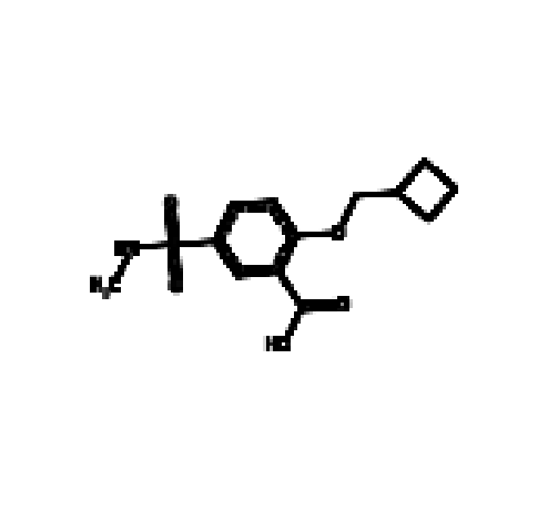 CNS(=O)(=O)c1ccc(OCC2CCC2)c(C(=O)O)c1